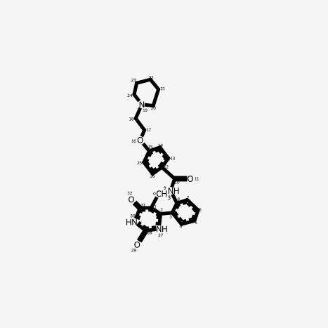 Cc1c(-c2ccccc2NC(=O)c2ccc(OCCN3CCCCC3)cc2)[nH]c(=O)[nH]c1=O